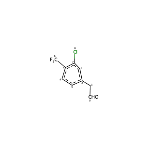 O=CCc1ccc(C(F)(F)F)c(Cl)c1